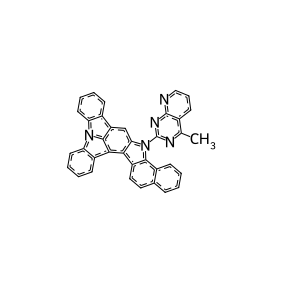 Cc1nc(-n2c3cc4c5ccccc5n5c6ccccc6c(c3c3ccc6ccccc6c32)c45)nc2ncccc12